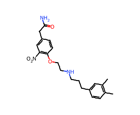 Cc1ccc(CCCNCCOc2ccc(CC(N)=O)cc2[N+](=O)[O-])cc1C